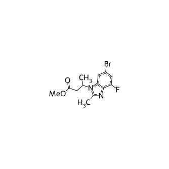 COC(=O)CC(C)n1c(C)nc2c(F)cc(Br)cc21